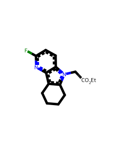 CCOC(=O)Cn1c2c(c3nc(F)ccc31)CCCC2